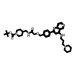 CC(C)(C)OC(=O)N1CCC(CNC(=O)COCc2ccc(-c3cc(NCCCN4CCCCC4)c4cnccc4n3)cc2)CC1